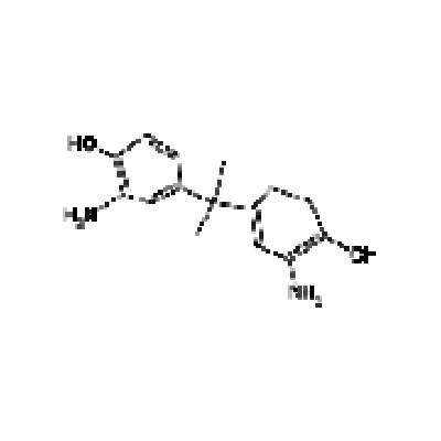 CC(C)(C1=CC(N)=C(O)CC1)c1ccc(O)c(N)c1